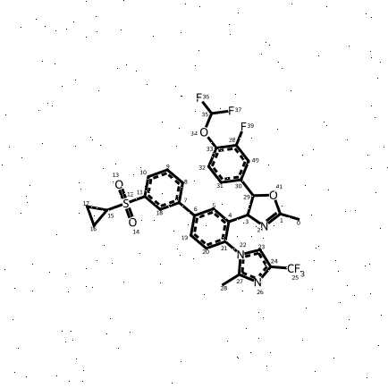 CC1=NC(c2cc(-c3cccc(S(=O)(=O)C4CC4)c3)ccc2-n2cc(C(F)(F)F)nc2C)C(c2ccc(OC(F)F)c(F)c2)O1